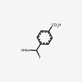 CCCCCCC(F)c1ccc(C(=O)O)cc1